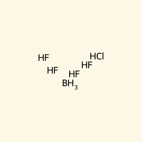 B.Cl.F.F.F.F